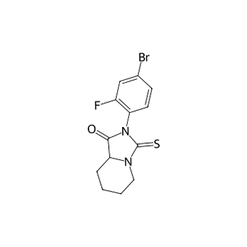 O=C1C2CCCCN2C(=S)N1c1ccc(Br)cc1F